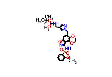 COc1ccccc1S(=O)(=O)Nc1noc2cc(Cn3cc(CNC(=O)OC(C)(C)C)cn3)c3c(c12)OCCO3